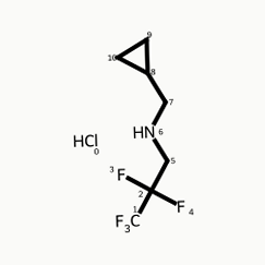 Cl.FC(F)(F)C(F)(F)CNCC1CC1